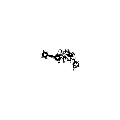 CN(C(=O)N1CCN(Cc2cnn(C)c2)C(=O)C1(C)CC=O)c1c(F)cc(C#Cc2ccccc2)cc1F